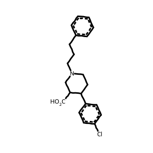 O=C(O)C1CN(CCCc2ccccc2)CCC1c1ccc(Cl)cc1